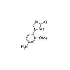 COc1cc(N)ccc1N1C=NC(Cl)N1